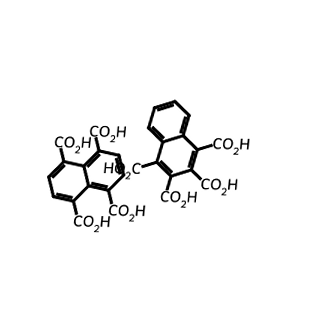 O=C(O)c1c(C(=O)O)c(C(=O)O)c2ccccc2c1C(=O)O.O=C(O)c1ccc(C(=O)O)c2c(C(=O)O)ccc(C(=O)O)c12